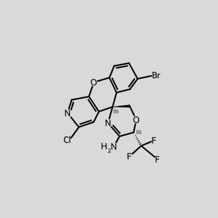 NC1=N[C@@]2(CO[C@@H]1C(F)(F)F)c1cc(Br)ccc1Oc1cnc(Cl)cc12